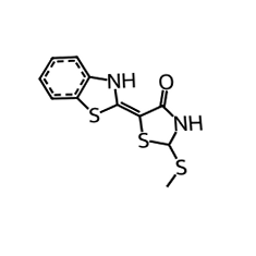 CSC1NC(=O)C(=C2Nc3ccccc3S2)S1